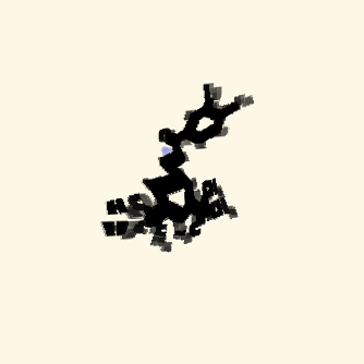 CC(C)(C)c1cc(/C=C/C(=O)c2ccc(F)c(F)c2)cc(C(C)(C)C)c1